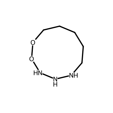 C1CCNNNOOCC1